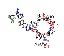 CO[C@@H]1C[C@H](/C=C(\C)[C@H]2OC(=O)[C@@H]3CCCCN3C(=O)C(=O)[C@]3(O)O[C@H]([C@@H](O)C[C@@H](C)C/C(C)=C/[C@@H](CC(=O)N4CCN(Cc5ccc(-c6cnc7[nH]cc(-c8cccc(Cl)c8)c7c6)cc5)CC4)C(=O)C[C@H](O)[C@H]2C)[C@@H](C=O)C[C@H]3C)CC[C@H]1O